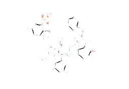 CCOC(C)[N+](CCO)(CCO)C(OCCNC(Cc1ccccc1)Cc1ccccc1O)c1ccccc1.Cc1ccccc1S(=O)(=O)[O-]